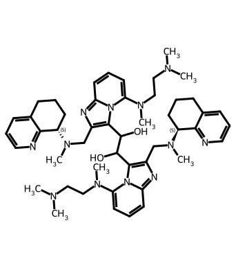 CN(C)CCN(C)c1cccc2nc(CN(C)[C@H]3CCCc4cccnc43)c(C(O)C(O)c3c(CN(C)[C@H]4CCCc5cccnc54)nc4cccc(N(C)CCN(C)C)n34)n12